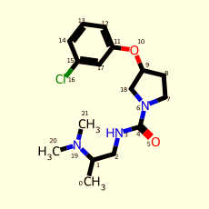 CC(CNC(=O)N1CCC(Oc2cccc(Cl)c2)C1)N(C)C